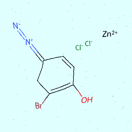 [Cl-].[Cl-].[N-]=[N+]=C1C=CC(O)=C(Br)C1.[Zn+2]